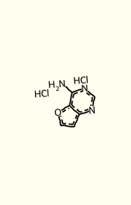 Cl.Cl.Nc1ncnc2ccoc12